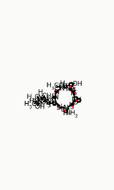 C=C(NC(=O)c1csc(-c2ccc3c(n2)-c2csc(n2)-c2csc(n2)C(C(C)CC)NC(=O)C(Cc2ccc(O)cc2)NC(=O)c2csc(n2)C(Cc2ccccc2)NC(=O)c2csc(n2)C(CC(N)=O)NC(=O)c2csc-3n2)n1)C(=O)NC(=C)C(=O)NC(C)C(=O)O